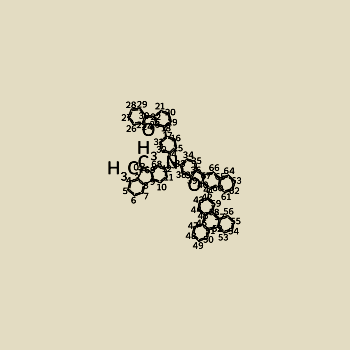 CC1(C)c2ccccc2-c2ccc(N(c3ccc(-c4cccc5c4oc4ccccc45)cc3)c3ccc4c(c3)oc3c(-c5ccc6c7ccccc7c7ccccc7c6c5)c5ccccc5cc34)cc21